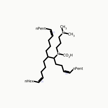 CCCCC/C=C\CCCC(CCC/C=C\CCCCCC)C(CC/C=C\CCCCC)N(CCCN(C)C)C(=O)O